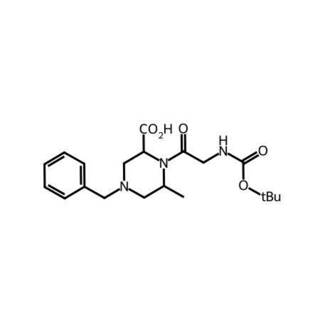 CC1CN(Cc2ccccc2)CC(C(=O)O)N1C(=O)CNC(=O)OC(C)(C)C